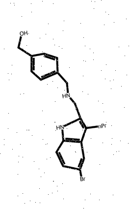 CCCc1c(CNCc2ccc(CO)cc2)[nH]c2ccc(Br)cc12